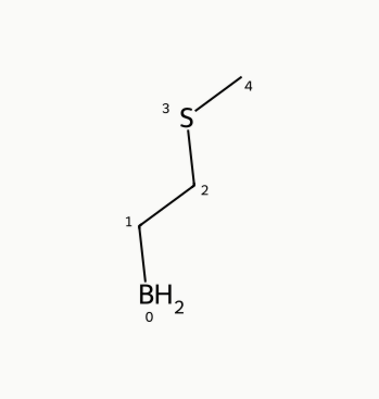 BCCSC